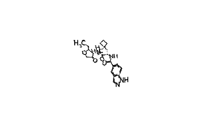 CC[C@@H]1OCC(=O)[C@H]1NC(=O)[C@H](CC1(C)CCC1)NC(=O)c1ccc2[nH]ncc2c1